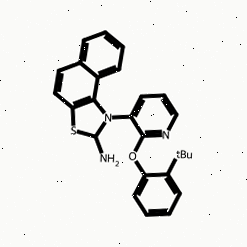 CC(C)(C)c1ccccc1Oc1ncccc1N1c2c(ccc3ccccc23)SC1N